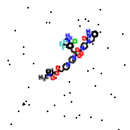 CN(C)C(=O)COC(=O)CC1CCN(C2CCN(C(=O)[C@@H](Cc3cc(Cl)c(N)c(C(F)(F)F)c3)OC(=O)N3CCC(N4CCc5ccccc5NC4=O)CC3)CC2)CC1